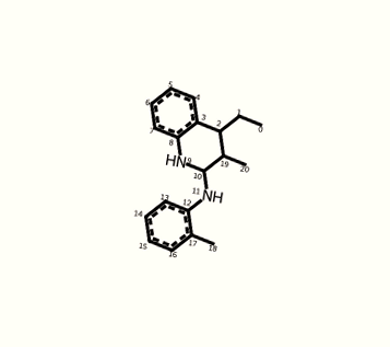 CCC1c2ccccc2NC(Nc2ccccc2C)C1C